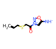 C=CCSCC(=O)[n+]1cc([NH-])on1